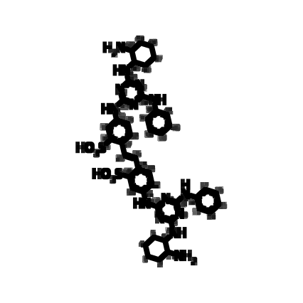 NC1CCCCC1Nc1nc(Nc2ccccc2)nc(Nc2ccc(/C=C/c3ccc(Nc4nc(Nc5ccccc5)nc(NC5CCCCC5N)n4)cc3S(=O)(=O)O)c(S(=O)(=O)O)c2)n1